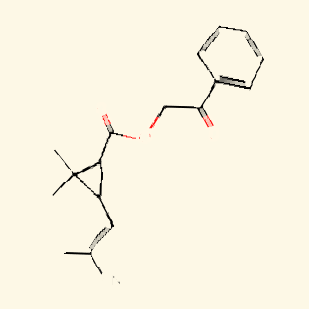 CC(C#N)=CC1C(C(=O)OCC(=O)c2ccccc2)C1(C)C